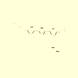 C=C(C)C(=O)OCCc1cc(-c2ccc(-c3ccc(CCCCC)cc3CC)cc2)ccc1CO